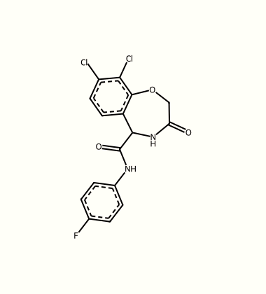 O=C1COc2c(ccc(Cl)c2Cl)C(C(=O)Nc2ccc(F)cc2)N1